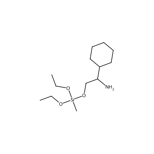 CCO[Si](C)(OCC)OCC(N)C1CCCCC1